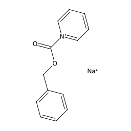 O=C(OCc1ccccc1)[n+]1ccccc1.[Na+]